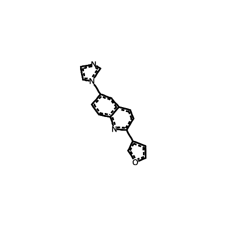 c1cn(-c2ccc3nc(-c4ccoc4)ccc3c2)cn1